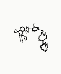 O=C1NC(=O)c2c(NCc3ccc(CN4CCC(c5ccccn5)CC4)cc3F)cccc21